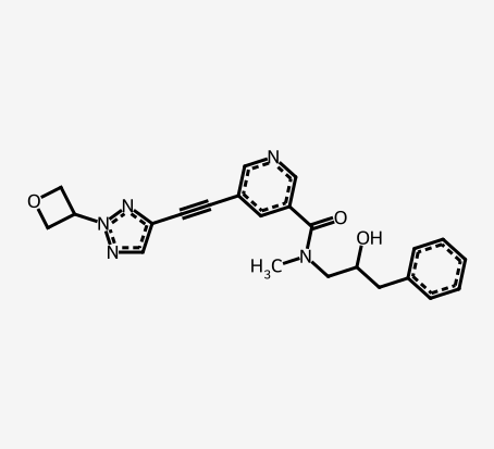 CN(CC(O)Cc1ccccc1)C(=O)c1cncc(C#Cc2cnn(C3COC3)n2)c1